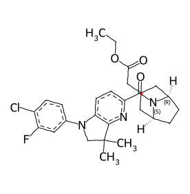 CCOC(=O)CC1C[C@H]2CC[C@@H](C1)N2C(=O)c1ccc2c(n1)C(C)(C)CN2c1ccc(Cl)c(F)c1